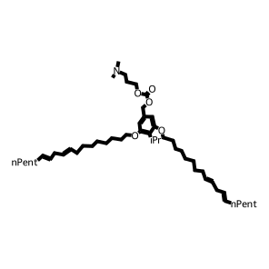 CCCCCC=CCC=CCCCCCCCCOc1cc(COC(=O)OCCCN(C)C)cc(OCCCCCCCCC=CCC=CCCCCC)c1C(C)C